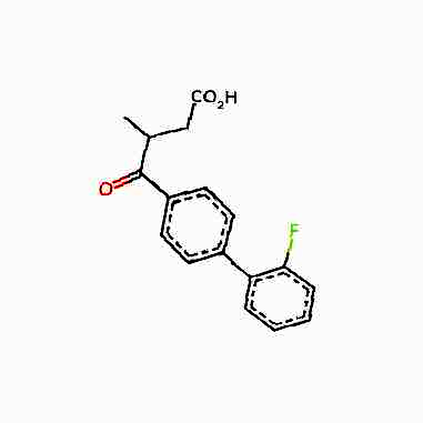 CC(CC(=O)O)C(=O)c1ccc(-c2ccccc2F)cc1